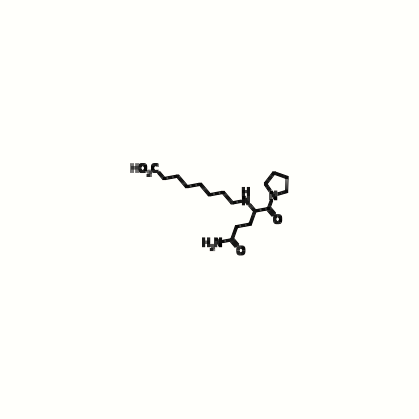 NC(=O)CCC(NCCCCCCCC(=O)O)C(=O)N1CCCC1